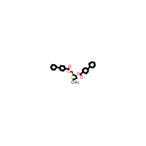 CC(=O)OC1C[C@@H](OC(=O)c2ccc(-c3ccccc3)cc2)[C@H](COC(=O)c2ccc(-c3ccccc3)cc2)S1